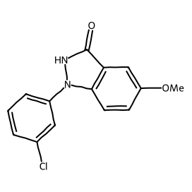 COc1ccc2c(c1)c(=O)[nH]n2-c1cccc(Cl)c1